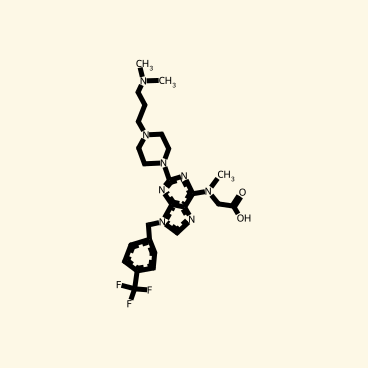 CN(C)CCCN1CCN(c2nc(N(C)CC(=O)O)c3ncn(Cc4ccc(C(F)(F)F)cc4)c3n2)CC1